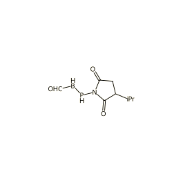 CC(C)C1CC(=O)N(PBC=O)C1=O